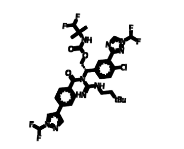 CC(C)(C)CCNC(=N)N(C(=O)c1ccc(-c2cnn(C(F)F)c2)cc1)[C@H](COC(=O)NC(C)(C)C(F)F)c1ccc(Cl)c(-c2ncn(C(F)F)n2)c1